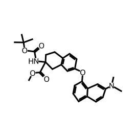 COC(=O)C1(NC(=O)OC(C)(C)C)CCc2ccc(Oc3cccc4ccc(N(C)C)cc34)cc2C1